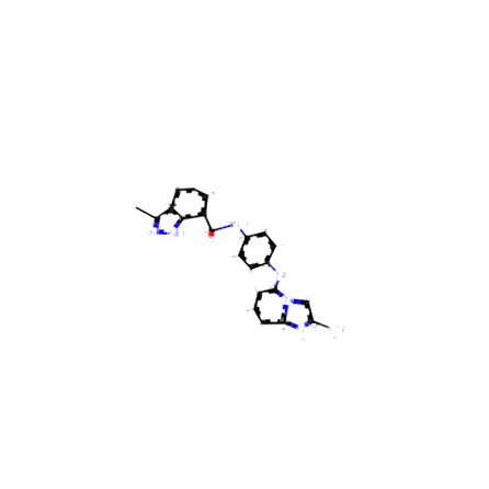 Cc1n[nH]c2c(C(=O)Nc3ccc(Nc4cccc5nc(C#N)cn45)cc3)cccc12